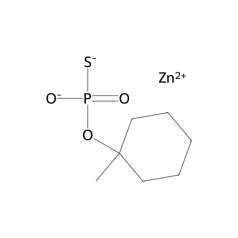 CC1(OP(=O)([O-])[S-])CCCCC1.[Zn+2]